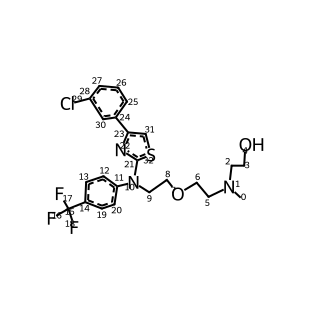 CN(CCO)CCOCCN(c1ccc(C(F)(F)F)cc1)c1nc(-c2cccc(Cl)c2)cs1